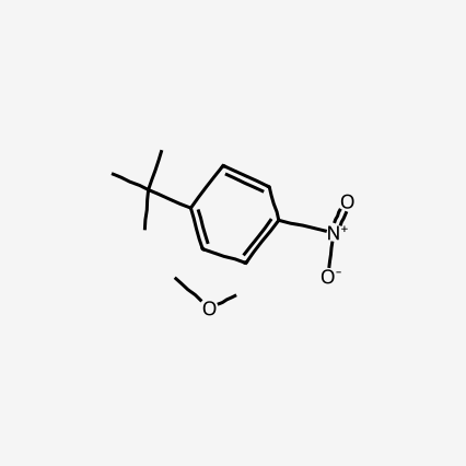 CC(C)(C)c1ccc([N+](=O)[O-])cc1.COC